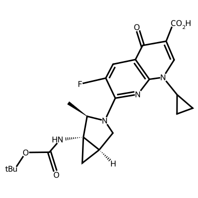 C[C@H]1N(c2nc3c(cc2F)c(=O)c(C(=O)O)cn3C2CC2)C[C@H]2C[C@]21NC(=O)OC(C)(C)C